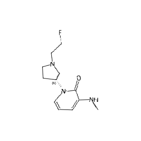 CNc1cccn([C@@H]2CCN(CCF)C2)c1=O